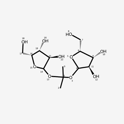 CC(C)(OC1O[C@H](CO)[C@H](O)[C@H]1O)OC1O[C@H](CO)[C@H](O)[C@H]1O